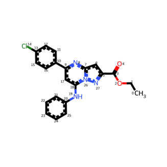 CCOC(=O)c1cc2nc(-c3ccc(Cl)cc3)cc(Nc3ccccc3)n2n1